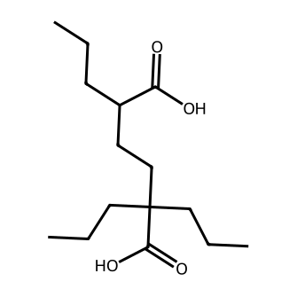 CCCC(CCC(CCC)(CCC)C(=O)O)C(=O)O